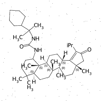 CC(C)C1=C2[C@H]3CC[C@@H]4[C@@]5(C)C(NC(=O)NC(C)(C)C6CCCCC6)CCC(C)(C)[C@@H]5CC[C@@]4(C)[C@]3(C)CC[C@@]2(C)CC1=O